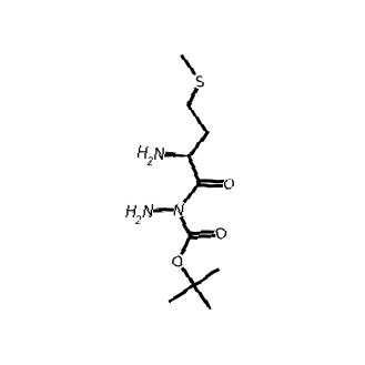 CSCC[C@H](N)C(=O)N(N)C(=O)OC(C)(C)C